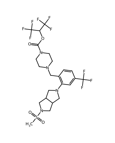 CS(=O)(=O)N1CC2CN(c3cc(C(F)(F)F)ccc3CN3CCN(C(=O)OC(C(F)(F)F)C(F)(F)F)CC3)CC2C1